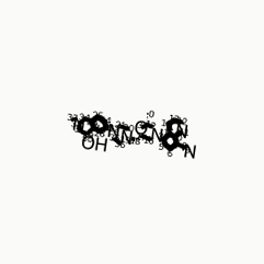 C[C@@H]1CN(c2ccc(C#N)c3ncccc23)C[C@H](CN2CCN(c3ccc4c(c3)C(O)CN(C)C4)CC2)O1